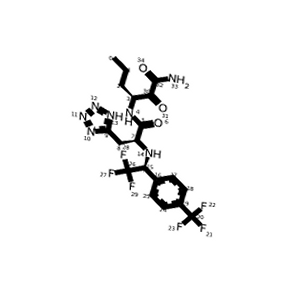 CCC[C@H](NC(=O)[C@H](Cc1nnn[nH]1)N[C@@H](c1ccc(C(F)(F)F)cc1)C(F)(F)F)C(=O)C(N)=O